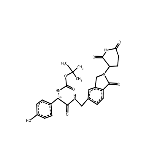 CC(C)(C)OC(=O)N[C@H](C(=O)NCc1ccc2c(c1)CN(C1CCC(=O)NC1=O)C2=O)c1ccc(O)cc1